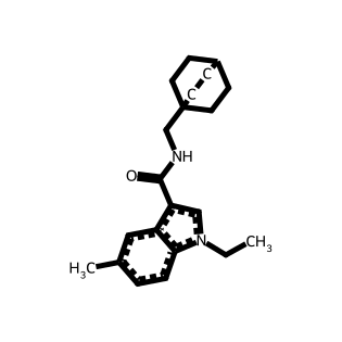 CCn1cc(C(=O)NCC23CCC(CC2)CC3)c2cc(C)ccc21